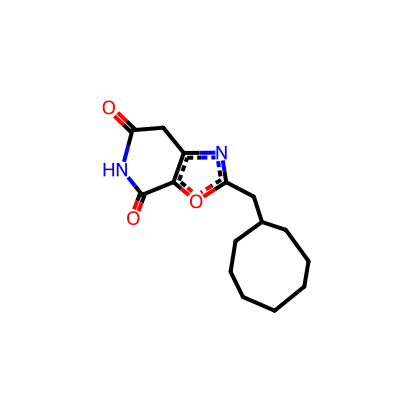 O=C1Cc2nc(CC3CCCCCCC3)oc2C(=O)N1